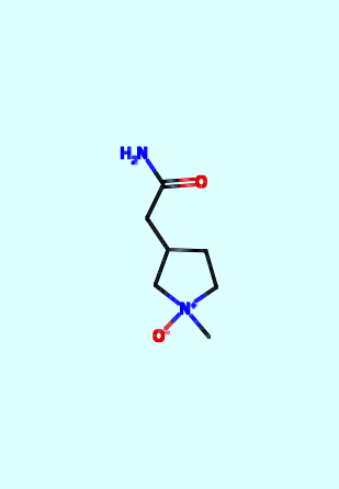 C[N+]1([O-])CCC(CC(N)=O)C1